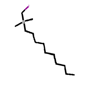 CCCCCCCCCC[Si](C)(C)CI